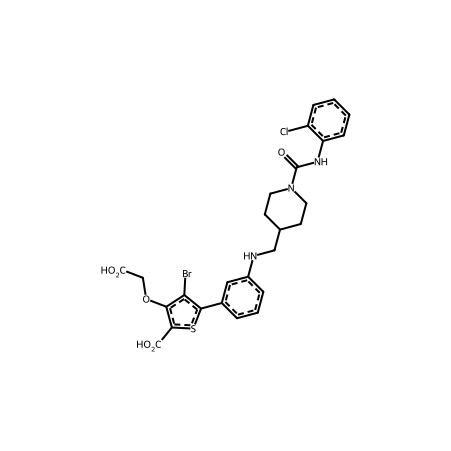 O=C(O)COc1c(C(=O)O)sc(-c2cccc(NCC3CCN(C(=O)Nc4ccccc4Cl)CC3)c2)c1Br